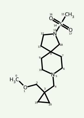 COCC1(CN2CCC3(CC2)CCN(S(C)(=O)=O)C3)CC1